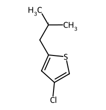 C[C](C)Cc1cc(Cl)cs1